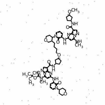 CNc1cc(Nc2cccn(C3CCOCC3CCCCO[C@@H]3CCC(NC(=O)c4cnn5c(N(C)C(=O)OC(C)(C)C)cc(Nc6cccn(C7CCOCC7)c6=O)nc45)C3)c2=O)nc2c(C(=O)NC3CC[C@@H](OC)C3)cnn12